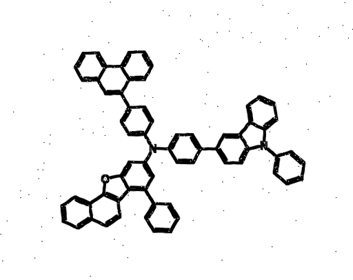 c1ccc(-c2cc(N(c3ccc(-c4ccc5c(c4)c4ccccc4n5-c4ccccc4)cc3)c3ccc(-c4cc5ccccc5c5ccccc45)cc3)cc3oc4c5ccccc5ccc4c23)cc1